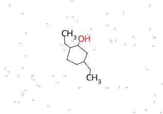 CCC1CCC(CC)C(O)C1